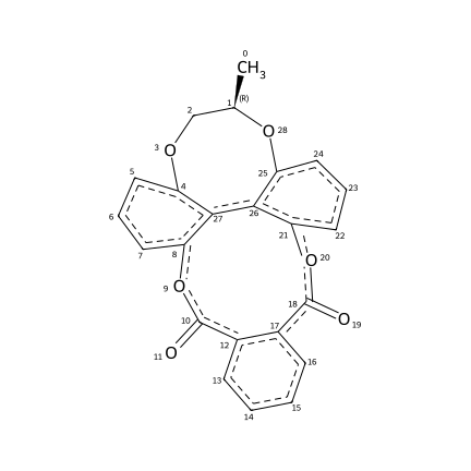 C[C@@H]1COc2cccc3oc(=O)c4ccccc4c(=O)oc4cccc(c4c23)O1